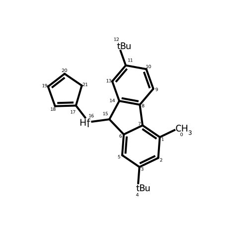 Cc1cc(C(C)(C)C)cc2c1-c1ccc(C(C)(C)C)cc1[CH]2[Hf][C]1=CC=CC1